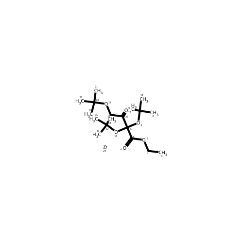 CCOC(=O)C(OC(C)(C)C)(OC(C)(C)C)C(=O)COC(C)(C)C.[Zr]